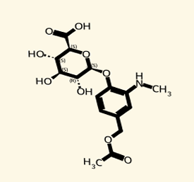 CNc1cc(COC(C)=O)ccc1O[C@@H]1O[C@H](C(=O)O)[C@@H](O)[C@H](O)[C@H]1O